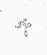 O=C(O)c1ccc(N(Cc2ccccc2)Cc2ccccc2)cc1C(=O)O